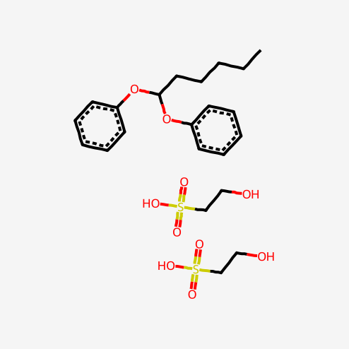 CCCCCC(Oc1ccccc1)Oc1ccccc1.O=S(=O)(O)CCO.O=S(=O)(O)CCO